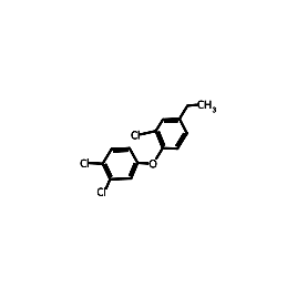 CCc1ccc(Oc2ccc(Cl)c(Cl)c2)c(Cl)c1